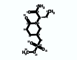 CC[C@@H](C(N)=O)N1CC(CS(=O)(=O)OC)CCC1=O